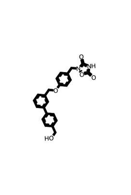 O=c1[nH]c(=O)n(Cc2ccc(OCc3cccc(-c4ccc(CO)cc4)c3)cc2)o1